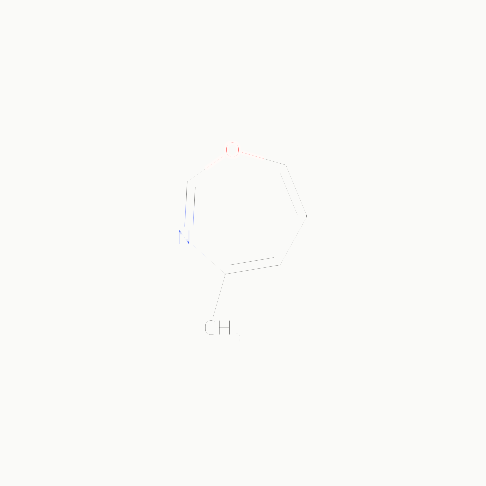 CC1=CC=COC=N1